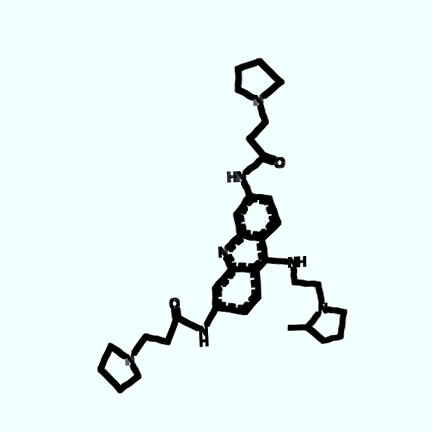 CC1CCCN1CCNc1c2ccc(NC(=O)CCN3CCCC3)cc2nc2cc(NC(=O)CCN3CCCC3)ccc12